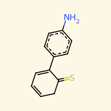 Nc1ccc(C2=CC=CCC2=S)cc1